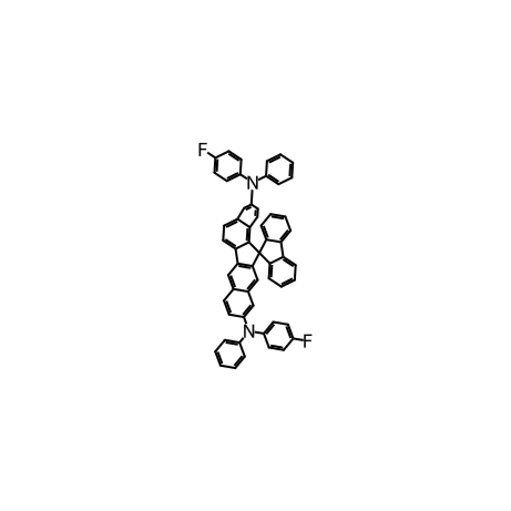 Fc1ccc(N(c2ccccc2)c2ccc3cc4c(cc3c2)C2(c3ccccc3-c3ccccc32)c2c-4ccc3cc(N(c4ccccc4)c4ccc(F)cc4)ccc23)cc1